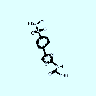 CCCCC(=O)Nc1nc(-c2ccc(S(=O)(=O)N(CC)CC)cc2)cs1